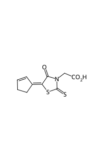 O=C(O)CN1C(=O)/C(=C2\C=CCC2)SC1=S